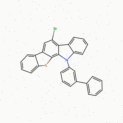 Brc1cc2c3ccccc3sc2c2c1c1ccccc1n2-c1cccc(-c2ccccc2)c1